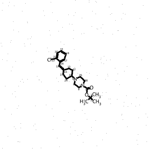 CC(C)(C)OC(=O)N1CCN(C2CCC(=Cc3ccccc3Cl)CC2)CC1